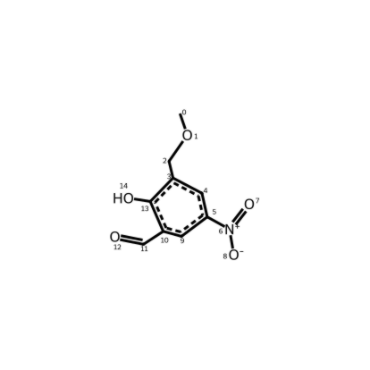 COCc1cc([N+](=O)[O-])cc(C=O)c1O